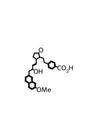 COc1ccc2ccc(CC(O)C=CC3CCC(=O)C3CCc3ccc(C(=O)O)cc3)cc2c1